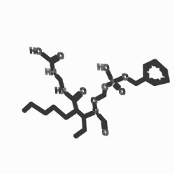 CCCCCC(C(=O)NCNC(=O)O)C(CC)N(C=O)OCOP(=O)(O)OCc1ccccc1